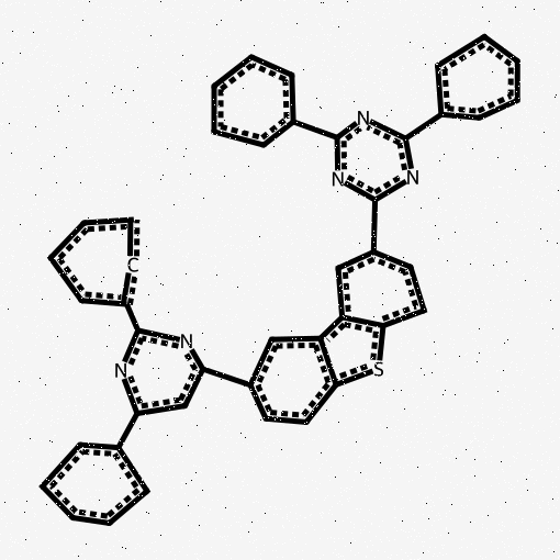 c1ccc(-c2cc(-c3ccc4sc5ccc(-c6nc(-c7ccccc7)nc(-c7ccccc7)n6)cc5c4c3)nc(-c3ccccc3)n2)cc1